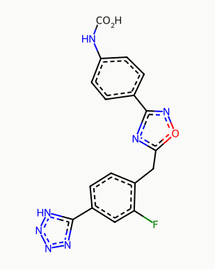 O=C(O)Nc1ccc(-c2noc(Cc3ccc(-c4nnn[nH]4)cc3F)n2)cc1